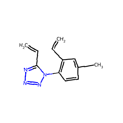 C=Cc1cc(C)ccc1-n1nnnc1C=C